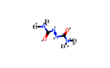 CCN(CC)C(=O)/N=N/C(=O)N(CC)CC